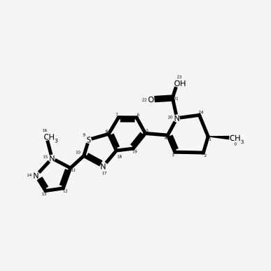 C[C@H]1CC=C(c2ccc3sc(-c4ccnn4C)nc3c2)N(C(=O)O)C1